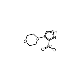 O=[N+]([O-])c1n[nH]cc1N1CCOCC1